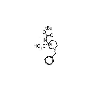 CC(C)(C)OC(=O)N[C@]1(C(=O)O)CCCN(Cc2ccccc2)C1